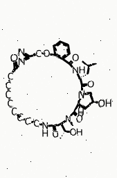 CC(C)C[C@H]1NC(=O)c2ccccc2OCc2noc(n2)CCCCCCCCNC(=O)C([C@@H](C)O)N(C)C(=O)[C@H]2C[C@H](O)CN2C1=O